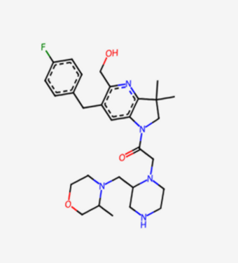 CC1COCCN1CC1CNCCN1CC(=O)N1CC(C)(C)c2nc(CO)c(Cc3ccc(F)cc3)cc21